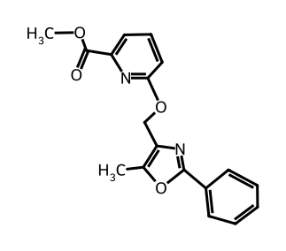 COC(=O)c1cccc(OCc2nc(-c3ccccc3)oc2C)n1